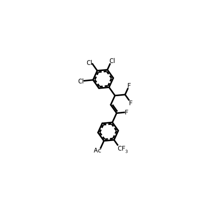 CC(=O)c1ccc(/C(F)=C/C(c2cc(Cl)c(Cl)c(Cl)c2)C(F)F)cc1C(F)(F)F